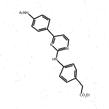 CCOC(=O)Cc1ccc(Nc2nccc(-c3ccc(NC(C)=O)cc3)n2)cc1